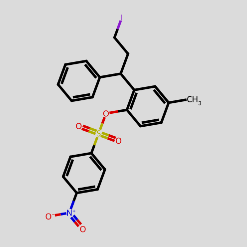 Cc1ccc(OS(=O)(=O)c2ccc([N+](=O)[O-])cc2)c(C(CCI)c2ccccc2)c1